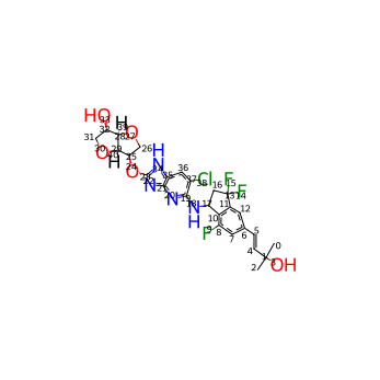 CC(C)(O)/C=C/c1cc(F)c2c(c1)C(F)(F)CC2Nc1nc2nc(O[C@@H]3CO[C@H]4[C@@H]3OC[C@H]4O)[nH]c2cc1Cl